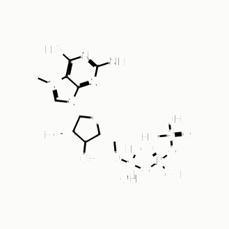 C[n+]1cn([C@@H]2O[C@H](CO[PH](O)(O)OP(=O)(O)OP(=O)(O)O)C(O)[C@@H]2O)c2nc(N)nc(O)c21